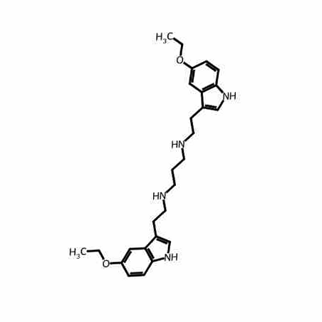 CCOc1ccc2[nH]cc(CCNCCCNCCc3c[nH]c4ccc(OCC)cc34)c2c1